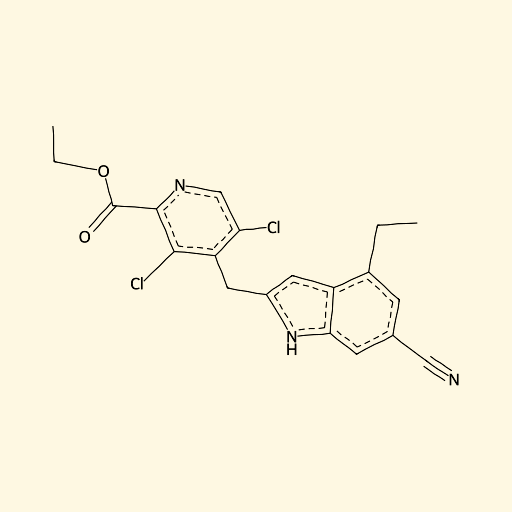 CCOC(=O)c1ncc(Cl)c(Cc2cc3c(CC)cc(C#N)cc3[nH]2)c1Cl